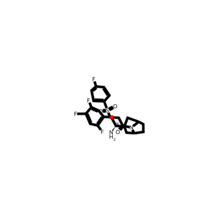 N[C@H](Cc1cc(F)c(F)cc1F)C1CC2CCC(C1)N2C(=O)CCS(=O)(=O)c1ccc(F)cc1